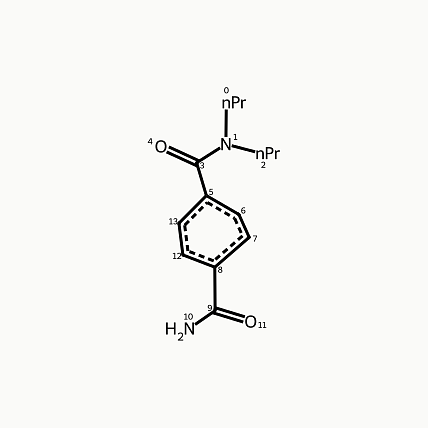 CCCN(CCC)C(=O)c1ccc(C(N)=O)cc1